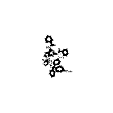 COc1ccc(C(OC[C@@]23CO[C@@H]([C@H](n4cnc5c(NC(=O)c6ccccc6)nc(NC(=O)c6ccccc6)nc54)O2)[C@@H]3O)(c2ccccc2)c2ccc(OC)cc2)cc1